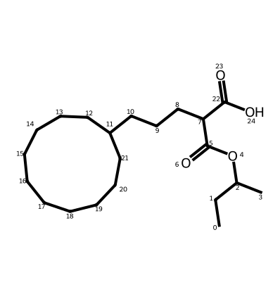 CCC(C)OC(=O)C(CCCC1CCCCCCCCCC1)C(=O)O